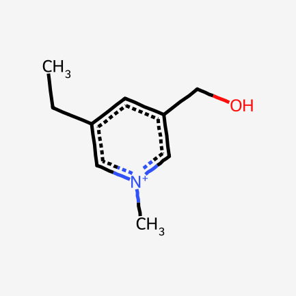 CCc1cc(CO)c[n+](C)c1